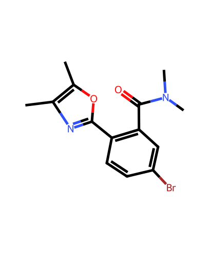 Cc1nc(-c2ccc(Br)cc2C(=O)N(C)C)oc1C